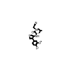 COc1ccc(-c2cscc2N[C@@H](CC(C)C)C(=O)NCC#N)cc1OC